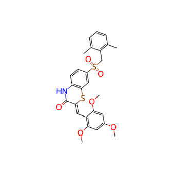 COc1cc(OC)c(C=C2Sc3cc(S(=O)(=O)Cc4c(C)cccc4C)ccc3NC2=O)c(OC)c1